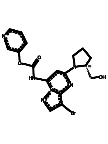 O=C(Nc1cc(N2CCC[C@@H]2CO)nc2c(Br)cnn12)Oc1cccnc1